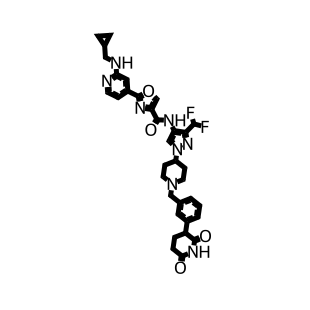 O=C1CCC(c2cccc(CN3CCC(n4cc(NC(=O)c5coc(-c6ccnc(NCC7CC7)c6)n5)c(C(F)F)n4)CC3)c2)C(=O)N1